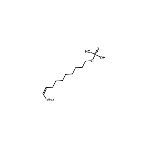 CCCCCC/C=C\CCCCCCCCOP(O)(O)=S